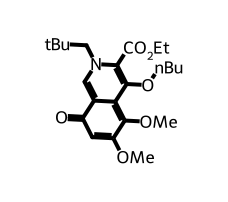 CCCCOc1c2c(OC)c(OC)cc(=O)c-2cn(CC(C)(C)C)c1C(=O)OCC